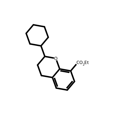 CCOC(=O)c1cccc2c1OC(C1CCCCC1)CC2